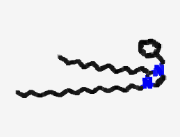 CCCCCCCCCCCCCCCCN1C=CN(Cc2ccccc2)C1CCCCCCCCCCC